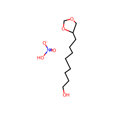 O=[N+]([O-])O.OCCCCCCCCC1COCO1